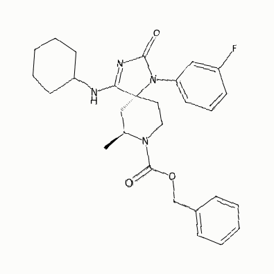 C[C@H]1C[C@]2(CCN1C(=O)OCc1ccccc1)C(NC1CCCCC1)=NC(=O)N2c1cccc(F)c1